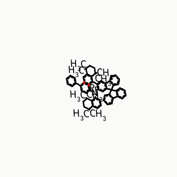 CC(C)c1ccc2c(c1-c1cc3c(cc1N(c1ccc(-c4ccccc4)cc1)c1cccc4c1C(C)(C)CCC4(C)C)C1(c4ccccc4-c4ccccc41)c1ccccc1-3)C(C)(C)CCC2(C)C